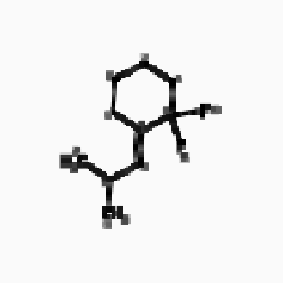 CC(C)/C=C1\CCCCC1(F)F